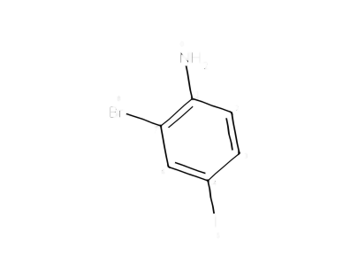 Nc1ccc(I)cc1Br